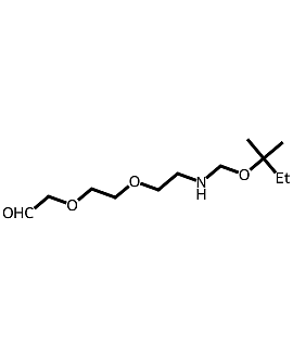 CCC(C)(C)OCNCCOCCOCC=O